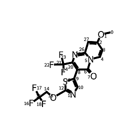 COc1ccn2c(=O)c(-c3cnc(OCC(F)(F)F)s3)c(C(F)(F)F)nc2c1